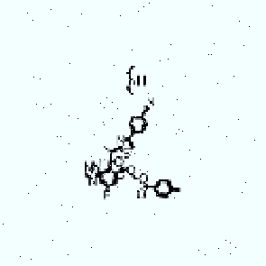 CCNCC.Cc1ccc(C(=O)OCOC(=O)O[C@@](Cn2cncn2)(c2ccc(F)cc2F)[C@@H](C)c2nc(-c3ccc(C#N)cc3)cs2)cc1